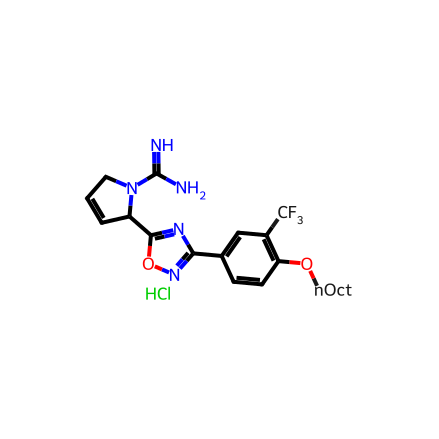 CCCCCCCCOc1ccc(-c2noc(C3C=CCN3C(=N)N)n2)cc1C(F)(F)F.Cl